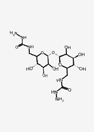 NNC(=O)NCC1O[C@H](O[C@H]2OC(CNC(=O)NN)[C@@H](O)[C@H](O)C2O)C(O)[C@@H](O)[C@@H]1O